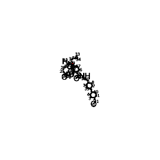 O=Cc1ccc(-c2ccc(CCNC(=O)c3ccc4c5c3O[C@H]3C(=O)CCC6[C@@H](C4)N(CC4CC4)CC[C@@]563)cc2)cc1